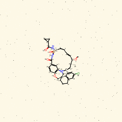 CO[C@H]1/C=C/CCC[S@@](=O)(NC(=O)C2CC2)=NC(=O)c2ccc3c(c2)N(CC[C@H]1C)C[C@@]1(CCCc2cc(Cl)ccc21)CO3